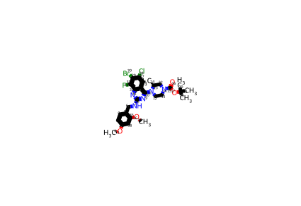 COc1ccc(CNc2nc(N3CCN(C(=O)OC(C)(C)C)C[C@@H]3C)c3cc(Cl)c(Br)c(F)c3n2)c(OC)c1